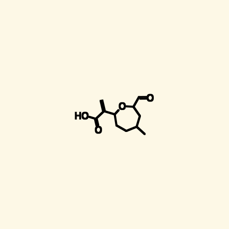 C=C(C(=O)O)C1CCC(C)CC(C=O)O1